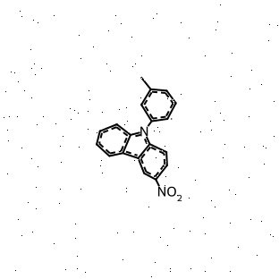 Cc1cc[c]c(-n2c3ccccc3c3cc([N+](=O)[O-])ccc32)c1